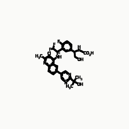 Cc1nc2ccc(-c3cnc(C(C)(C)O)nc3)cc2c(N[C@@H](c2cc(C(CO)NC(=O)O)ccc2F)C(F)F)c1Cl